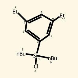 CCCC[Si](Cl)(CCCC)c1cc(CC)cc(CC)c1